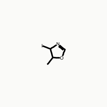 CC1OC=NC1I